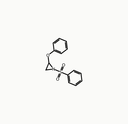 O=S(=O)(c1ccccc1)N1CC1Oc1ccccc1